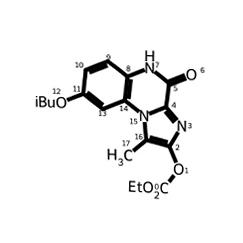 CCOC(=O)Oc1nc2c(=O)[nH]c3ccc(OCC(C)C)cc3n2c1C